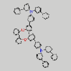 C1=CCC(c2cccc(N(c3ccc(-c4ccc5c(c4)Oc4ccccc4-c4ccccc4Oc4cc(-c6ccc(N(C7=CC(c8ccccc8)CC=C7)c7cccc(-c8ccccc8)c7)cc6)ccc4-5)cc3)c3cccc(-c4ccccc4)c3)c2)C=C1